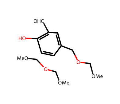 COCOCOC.COCOCc1ccc(O)c(C=O)c1